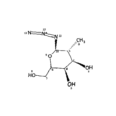 C[C@@H]1[C@@H](O)[C@@H](O)C(CO)O[C@H]1N=[N+]=[N-]